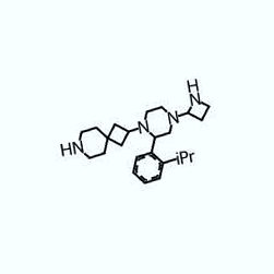 CC(C)c1ccccc1C1CN(C2CCN2)CCN1C1CC2(CCNCC2)C1